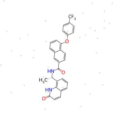 C[C@H](NC(=O)c1ccc2c(Oc3ccc(C(F)(F)F)cc3)cccc2c1)c1cccc2ccc(=O)[nH]c12